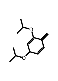 C=C1C=CC(OC(C)C)C=C1OC(C)C